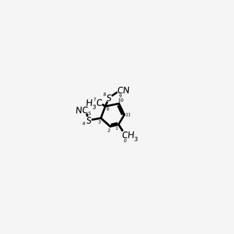 CC1=CC(SC#N)C(C)(SC#N)C=C1